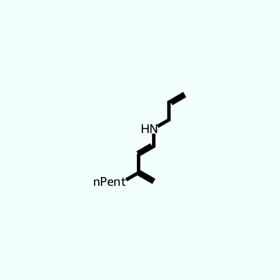 C=CCN/C=C/C(=C)CCCCC